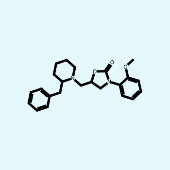 COc1ccccc1N1CC(CN2CCCCC2Cc2ccccc2)OC1=O